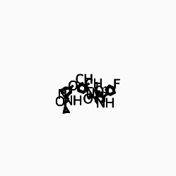 Cc1c(NC(=O)c2c[nH]cc(-c3ccc(F)cc3)c2=O)ccc(Oc2ccnc(NC(=O)C3CC3)c2)c1C